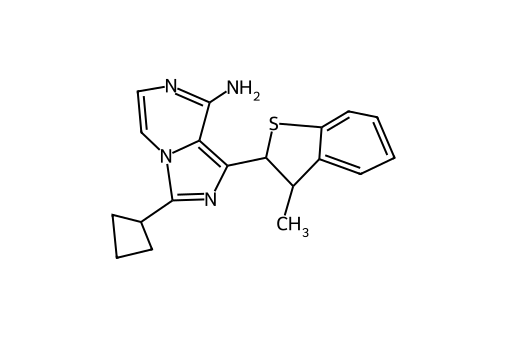 CC1c2ccccc2SC1c1nc(C2CCC2)n2ccnc(N)c12